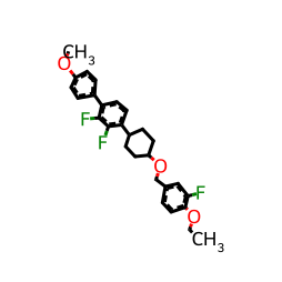 CCOc1ccc(COC2CCC(c3ccc(-c4ccc(OC)cc4)c(F)c3F)CC2)cc1F